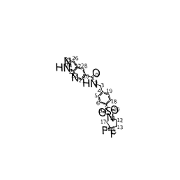 O=C(NCc1ccc(S(=O)(=O)N2CCC(F)(F)C2)cc1)c1cnc2[nH]ncc2c1